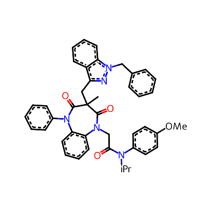 COc1ccc(N(C(=O)CN2C(=O)C(C)(Cc3nn(Cc4ccccc4)c4ccccc34)C(=O)N(c3ccccc3)c3ccccc32)C(C)C)cc1